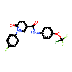 O=C(Nc1ccc(OC(F)(F)Cl)cc1)c1ccc(=O)n(-c2ccc(F)cc2)c1